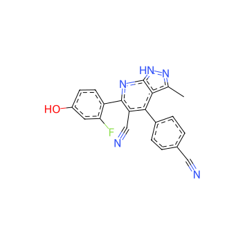 Cc1n[nH]c2nc(-c3ccc(O)cc3F)c(C#N)c(-c3ccc(C#N)cc3)c12